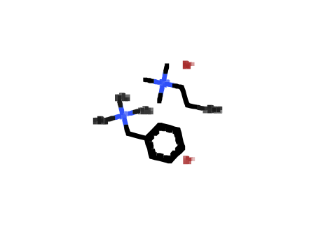 CCCCCCCCCCCC[N+](C)(C)C.CCCC[N+](CCCC)(CCCC)Cc1ccccc1.[Br-].[Br-]